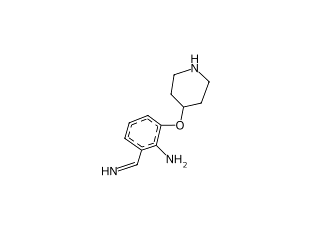 N=Cc1cccc(OC2CCNCC2)c1N